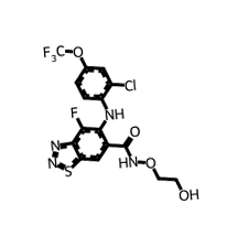 O=C(NOCCO)c1cc2snnc2c(F)c1Nc1ccc(OC(F)(F)F)cc1Cl